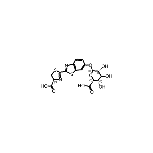 O=C(O)[C@H]1O[C@@H](Oc2ccc3nc(C4=N[C@@H](C(=O)O)CS4)sc3c2)[C@H](O)C(O)[C@@H]1O